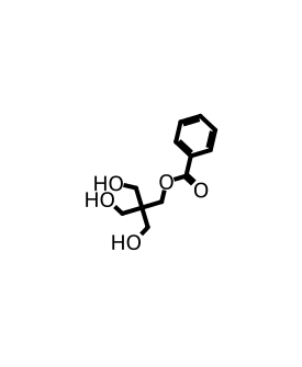 O=C(OCC(CO)(CO)CO)c1ccccc1